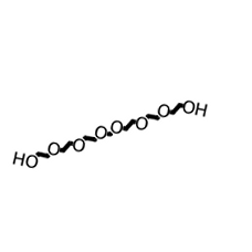 OCCOCCOCCOCOCCOCCOCCO